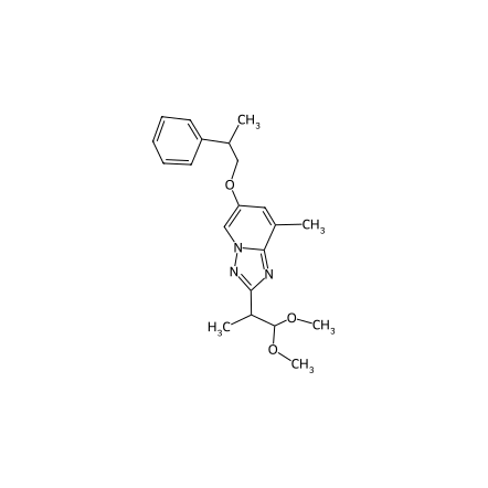 COC(OC)C(C)c1nc2c(C)cc(OCC(C)c3ccccc3)cn2n1